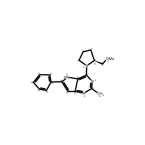 COC[C@@H]1CCCN1c1nc(C)nc2cc(-c3ccccc3)[nH]c12